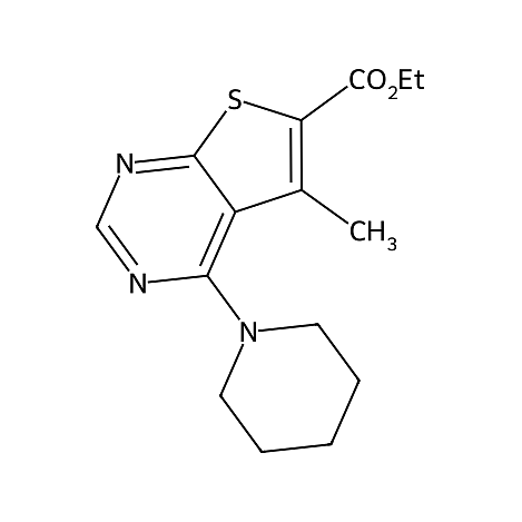 CCOC(=O)c1sc2ncnc(N3CCCCC3)c2c1C